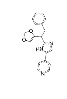 C1=C(C(Cc2ccccc2)c2ncc(-c3ccncc3)[nH]2)OCO1